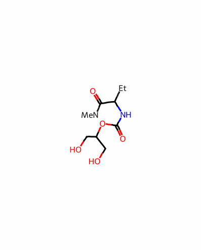 CCC(NC(=O)OC(CO)CO)C(=O)NC